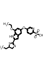 CCOc1cc(Oc2ccc(S(C)(=O)=O)nc2)cc2cc(C3=NCC(CC)S3)[nH]c12